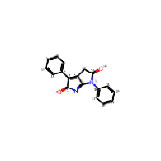 O=C1N=C2C(=C1c1ccccc1)CC(=O)N2c1ccccc1